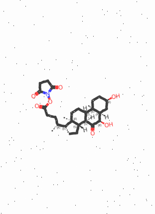 C[C@H](CCC(=O)ON1C(=O)CCC1=O)[C@H]1CC[C@H]2[C@@H]3C(=O)[C@H](O)[C@@H]4C[C@H](O)CC[C@]4(C)[C@H]3CC[C@]12C